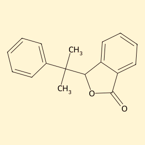 CC(C)(c1ccccc1)C1OC(=O)c2ccccc21